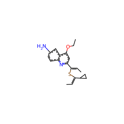 C/C=C(\S/C(=C\C)C1CC1)c1cc(OCC)c2cc(N)ccc2n1